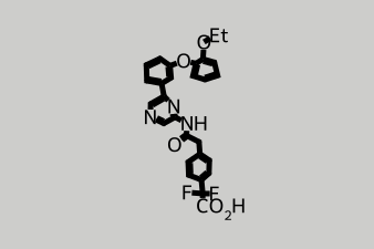 CCOc1ccccc1Oc1cccc(-c2cncc(NC(=O)Cc3ccc(C(F)(F)C(=O)O)cc3)n2)c1